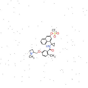 Cc1ccc(OCC2CCN2C)cc1C(=O)NC1(c2cc(OS(=O)(=O)C(F)(F)F)cc3ccccc23)CC1